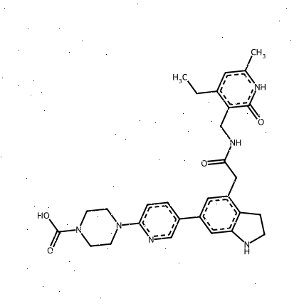 CCc1cc(C)[nH]c(=O)c1CNC(=O)Cc1cc(-c2ccc(N3CCN(C(=O)O)CC3)nc2)cc2c1CCN2